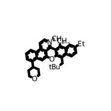 CCc1ccc2c(CC(C)(C)C)c3c(c(C)c2c1)-c1c2c(cc4c(C5CCOCC5)cccc4c2cc[n+]1C)O3